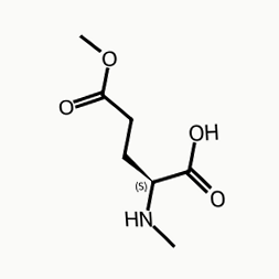 CN[C@@H](CCC(=O)OC)C(=O)O